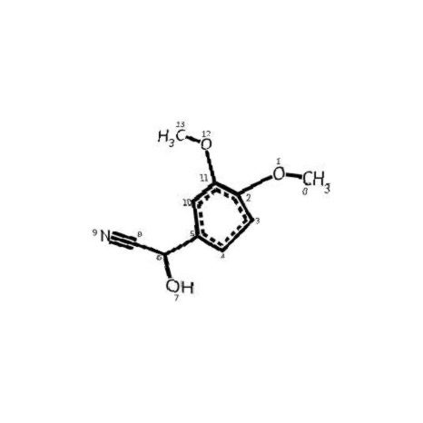 COc1ccc(C(O)C#N)cc1OC